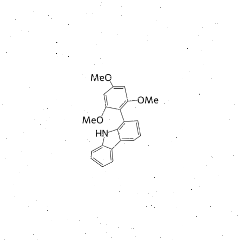 COc1cc(OC)c(-c2cccc3c2[nH]c2ccccc23)c(OC)c1